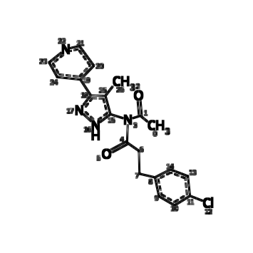 CC(=O)N(C(=O)CCc1ccc(Cl)cc1)c1[nH]nc(-c2ccncc2)c1C